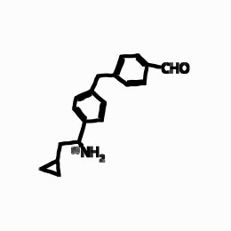 N[C@@H](CC1CC1)c1ccc(Cc2ccc(C=O)cc2)cc1